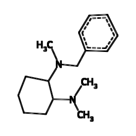 CN(C)C1CCCCC1N(C)Cc1ccccc1